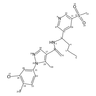 C=C(NC(CCC)c1cncc(S(C)(=O)=O)c1)c1cnn(-c2ccc(F)c(Cl)c2)c1C